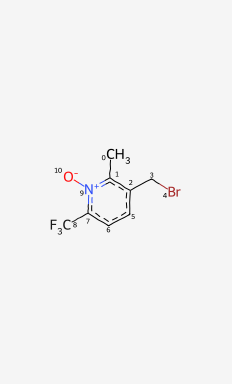 Cc1c(CBr)ccc(C(F)(F)F)[n+]1[O-]